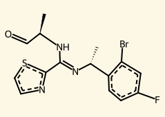 C[C@H](C=O)N/C(=N\[C@H](C)c1ccc(F)cc1Br)c1nccs1